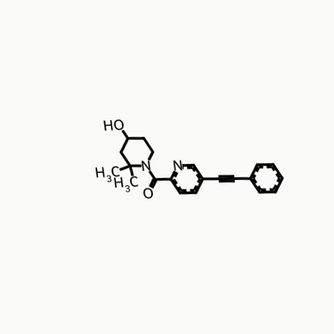 CC1(C)CC(O)CCN1C(=O)c1ccc(C#Cc2ccccc2)cn1